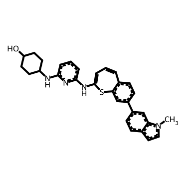 Cn1ccc2ccc(-c3ccc4c(c3)SC(Nc3cccc(NC5CCC(O)CC5)n3)=CC=C4)cc21